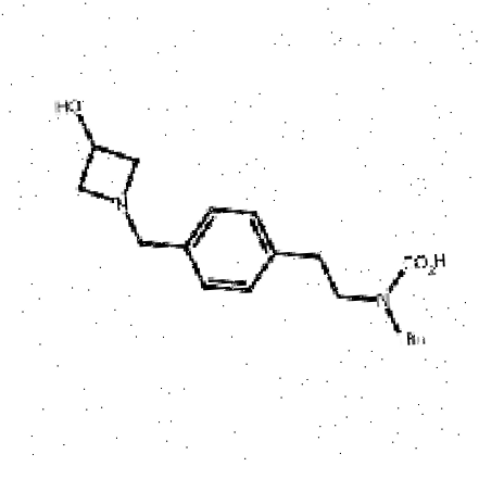 CC(C)(C)N(CCc1ccc(CN2CC(O)C2)cc1)C(=O)O